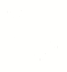 COc1cc(-c2ccc3c4c(cccc24)C=C(O)C3=O)cc(OC)c1OC